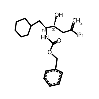 C=C(C[C@H](O)[C@H](CC1CCCCC1)NC(=O)OCc1ccccc1)C(C)C